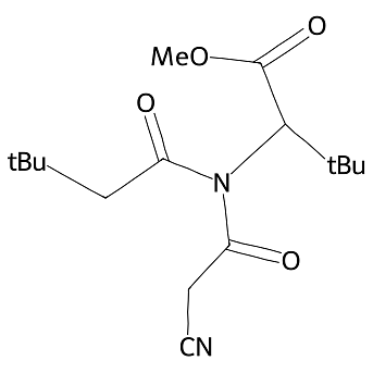 COC(=O)C(N(C(=O)CC#N)C(=O)CC(C)(C)C)C(C)(C)C